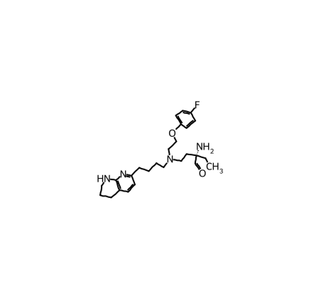 CC[C@@](N)(C=O)CCN(CCCCc1ccc2c(n1)NCCC2)CCOc1ccc(F)cc1